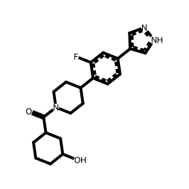 O=C(C1CCCC(O)C1)N1CCC(c2ccc(-c3cn[nH]c3)cc2F)CC1